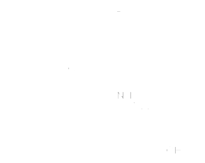 C[C@H](CCOCCF)C[C@H](CN)CC(=O)O